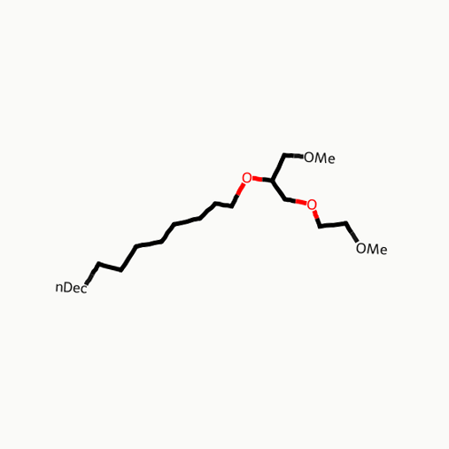 CCCCCCCCCCCCCCCCCCOC(COC)COCCOC